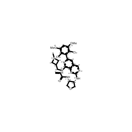 C=CC(=O)N[C@H]1COC[C@H]1Nc1ncc2cc(-c3c(Cl)c(OC)cc(OC)c3Cl)nc(NCC3CN(C)C3)c2n1